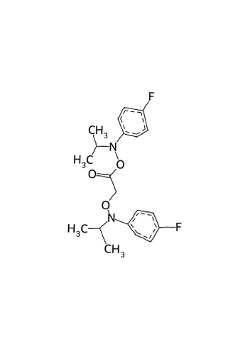 CC(C)N(OCC(=O)ON(c1ccc(F)cc1)C(C)C)c1ccc(F)cc1